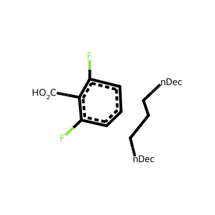 CCCCCCCCCCCCCCCCCCCCCCC.O=C(O)c1c(F)cccc1F